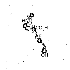 O=C(Nc1nc2ccccc2s1)c1cccc2c1CN(c1nc(C(=O)O)c(CCCOc3ccc(C#CCN4CCC(O)CC4)cc3F)s1)CC2